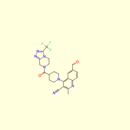 Cc1nc2ccc(C=O)cc2c(N2CCC(C(=O)N3CCn4c(nnc4C(F)(F)F)C3)CC2)c1C#N